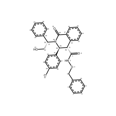 O=C(NOCc1ccccc1)[C@H]1c2ccccc2C(=O)N([C@H](CO)c2ccccc2)[C@@H]1c1ccc(Cl)cc1